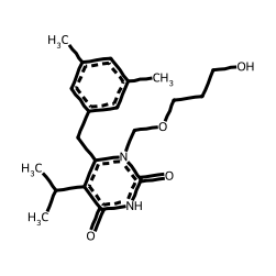 Cc1cc(C)cc(Cc2c(C(C)C)c(=O)[nH]c(=O)n2COCCCO)c1